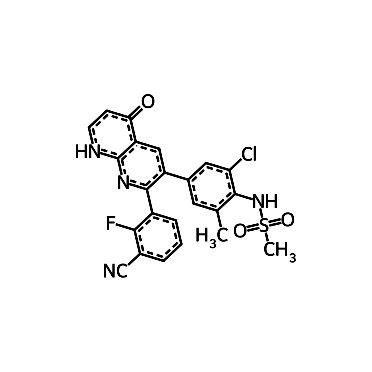 Cc1cc(-c2cc3c(=O)cc[nH]c3nc2-c2cccc(C#N)c2F)cc(Cl)c1NS(C)(=O)=O